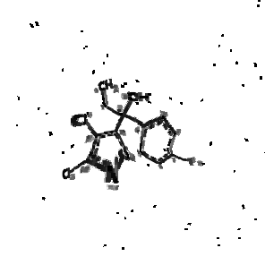 C=CC(O)(c1ccc(F)cc1)c1snc(Cl)c1Cl